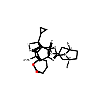 COc1ccc2sc(N3[C@@H]4CC[C@H]3CC(OC(=O)c3c(C56CCC(CC5)CC6)noc3C3CC3)C4)nc2c1